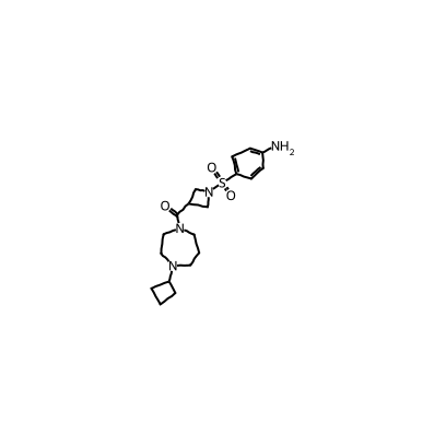 Nc1ccc(S(=O)(=O)N2CC(C(=O)N3CCCN(C4CCC4)CC3)C2)cc1